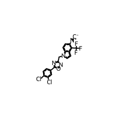 [C-]#[N+]c1ccc2c(ccn2Cc2noc(-c3ccc(Cl)c(Cl)c3)n2)c1C(F)(F)F